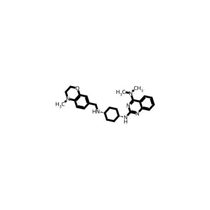 CN(C)c1nc(N[C@H]2CC[C@@H](NCc3ccc4c(c3)OCCN4C)CC2)nc2ccccc12